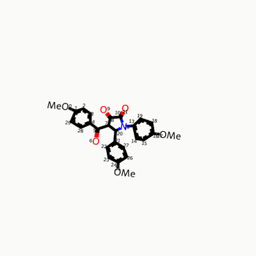 COc1ccc(C(=O)C2C(=O)C(=O)N(c3ccc(OC)cc3)C2c2ccc(OC)cc2)cc1